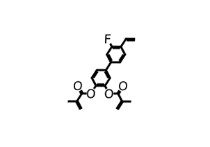 C=Cc1ccc(-c2ccc(OC(=O)C(=C)C)c(OC(=O)C(=C)C)c2)cc1F